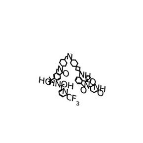 CN(CC1CCC(N2Cc3cc(C(C)(C)O)c(NC(O)c4cccc(C(F)(F)F)n4)cc3C2=O)CC1)C1CCC2(CC1)CC(Nc1cccc3c1C(=O)N(C1CCC(=O)NC1=O)C3=O)C2